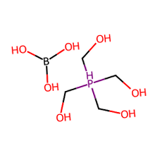 OB(O)O.OC[PH](CO)(CO)CO